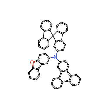 c1ccc2c(c1)-c1ccccc1C21c2ccccc2-c2ccc(N(c3ccc4oc5ccccc5c4c3)c3ccc4c5ccccc5c5ccccc5c4c3)cc21